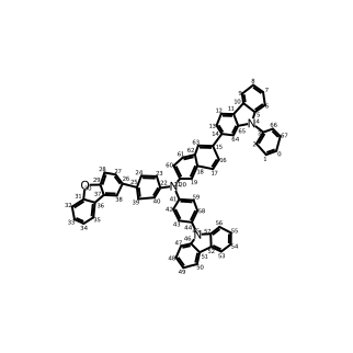 c1ccc(-n2c3ccccc3c3ccc(-c4ccc5cc(N(c6ccc(-c7ccc8oc9ccccc9c8c7)cc6)c6ccc(-n7c8ccccc8c8ccccc87)cc6)ccc5c4)cc32)cc1